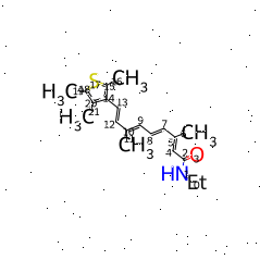 CCNC(=O)C=C(C)C=CC=C(C)C=Cc1c(C)sc(C)c1C